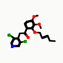 CCC=CCOc1c(C(=O)Cc2c(Cl)cncc2Cl)ccc(OC)c1OC